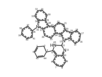 C1=CCC(C2=c3ccccc3=NC(n3c4ccccc4c4ccc5c(ccc6c5c5ccccc5n6-c5ccccc5)c43)N2)C=C1